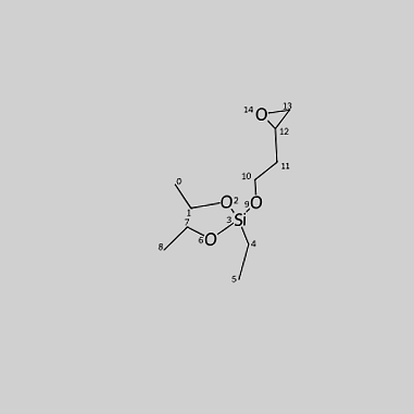 CCO[Si](CC)(OCC)OCCC1CO1